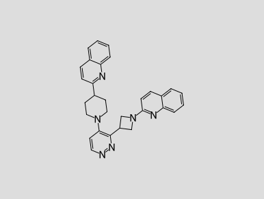 c1ccc2nc(C3CCN(c4ccnnc4C4CN(c5ccc6ccccc6n5)C4)CC3)ccc2c1